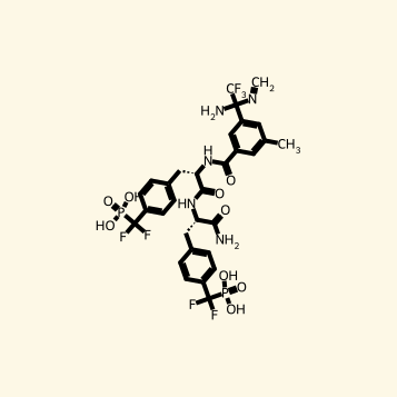 C=NC(N)(c1cc(C)cc(C(=O)N[C@@H](Cc2ccc(C(F)(F)P(=O)(O)O)cc2)C(=O)N[C@@H](Cc2ccc(C(F)(F)P(=O)(O)O)cc2)C(N)=O)c1)C(F)(F)F